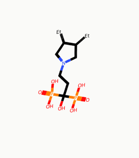 CCC1CN(CCC(O)(P(=O)(O)O)P(=O)(O)O)CC1CC